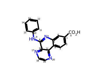 O=C(O)c1ccc2c(c1)nc(Nc1ccccc1)c1nccnc12